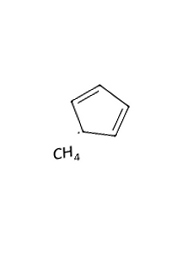 C.[CH]1C=CC=C1